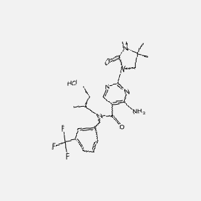 CCC(C)N(C(=O)c1cnc(N2CC(C)(C)NC2=O)nc1N)c1cccc(C(F)(F)F)c1.Cl